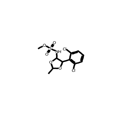 COS(=O)(=O)NC1OC(C)OC1c1c(Cl)cccc1Cl